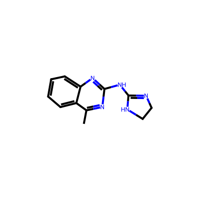 Cc1nc(NC2=NCCN2)nc2ccccc12